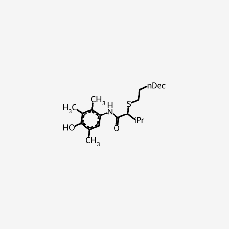 CCCCCCCCCCCCSC(C(=O)Nc1cc(C)c(O)c(C)c1C)C(C)C